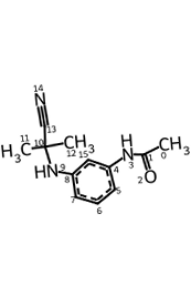 CC(=O)Nc1cccc(NC(C)(C)C#N)c1